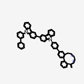 C=C1/C=C\C=C/Cc2cc(-c3ccc(-n4c5ccccc5c5cc(-c6ccc7c(c6)c6ccccc6n7-c6cccc(-c7ccccc7)c6)ccc54)cc3)ccc2-c2ccccc21